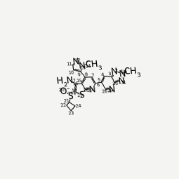 Cn1nc2cc(-c3cc(-c4ccnn4C)c4c(N)c([S+]([O-])C5CCC5)sc4n3)cnc2n1